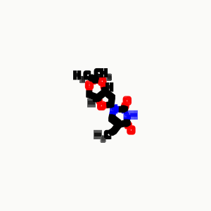 CCc1cn([C@H]2C[C@H]3OC(C)(C)OC[C@H]3O2)c(=O)[nH]c1=O